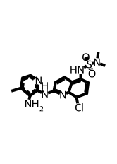 Cc1ccnc(NC2=NC3C(=C(NS(=O)(=O)N(C)C)C=CC3Cl)C=C2)c1N